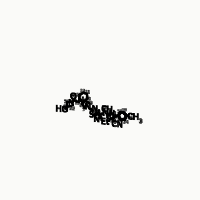 CCc1nc2sc(N3CCC4(CCCCN4CC(=O)N4CC(O)C4)C3)nn2c1N(C)c1nc(-c2ccc(C)cc2)c(C#N)s1